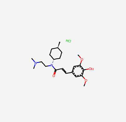 COc1cc(C=CC(=O)N(CCN(C)C)[C@H]2CC[C@H](C)CC2)cc(OC)c1O.Cl